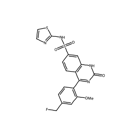 COc1cc(CF)ccc1-c1nc(=O)[nH]c2cc(S(=O)(=O)Nc3nccs3)ccc12